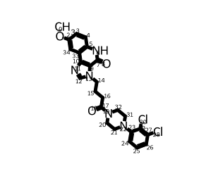 COc1ccc2[nH]c(=O)c3c(ncn3CCCC(=O)N3CCN(c4cccc(Cl)c4Cl)CC3)c2c1